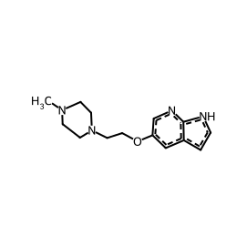 CN1CCN(CCOc2cnc3[nH]ccc3c2)CC1